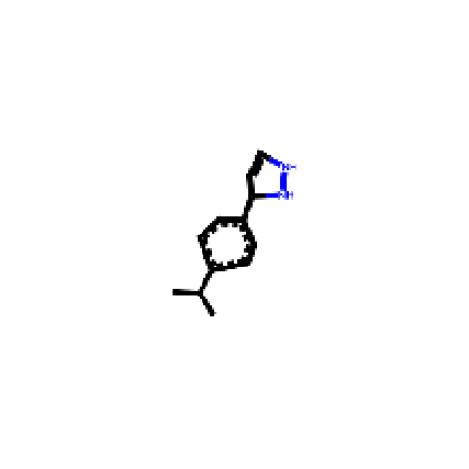 CC(C)c1ccc(C2C=CNN2)cc1